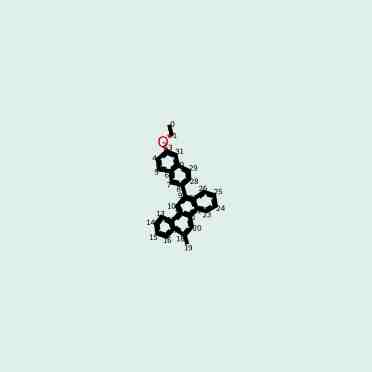 CCOc1ccc2cc(-c3cc4c5ccccc5c(C)cc4c4ccccc34)ccc2c1